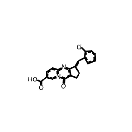 O=C(O)c1ccc2nc3c(c(=O)n2c1)CCC3=Cc1ccccc1Cl